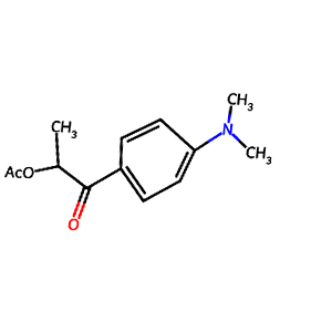 CC(=O)OC(C)C(=O)c1ccc(N(C)C)cc1